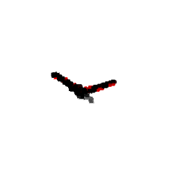 CCCCCC=CCC=CCCCCCCCCC(CO)(CCCCCCCCC=CCC=CCCCCC)C(C)N